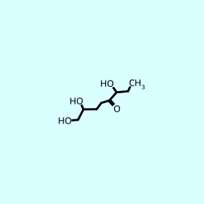 CCC(O)C(=O)CCC(O)CO